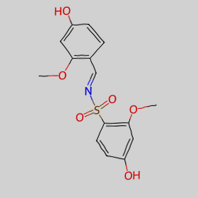 COc1cc(O)ccc1/C=N/S(=O)(=O)c1ccc(O)cc1OC